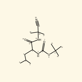 CC(C)CC(NC(=O)OC(C)(C)C)C(=O)NC(C)(C)C#N